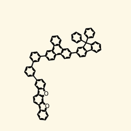 c1ccc(C2(c3ccccc3)c3ccccc3-c3ccc(-c4ccc5c6ccc(-c7cccc(-c8cccc(-c9ccc%10oc%11c(ccc%12c%13ccccc%13oc%12%11)c%10c9)c8)c7)cc6c6ccccc6c5c4)cc32)cc1